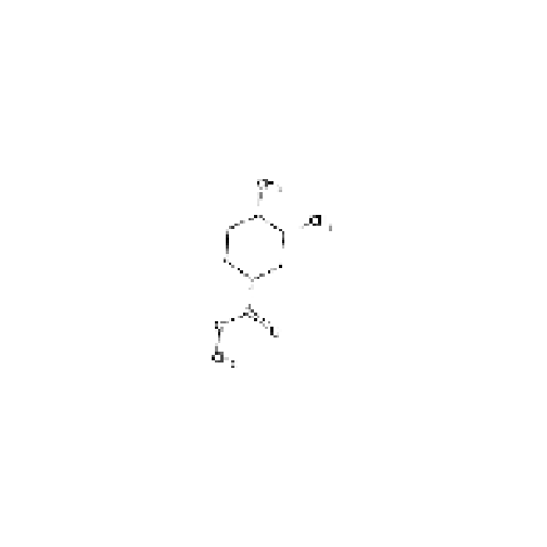 COC(=O)[C@@H]1CC[C@H](C)[C@H](C)C1